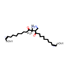 CCCCCCCC/C=C\CCCCCCCC(=O)C(CN)C(C)(C)C(=O)CCCCCCC/C=C\CCCCCCCC